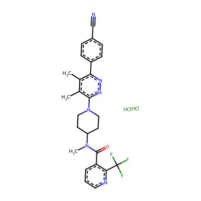 Cc1c(-c2ccc(C#N)cc2)nnc(N2CCC(N(C)C(=O)c3cccnc3C(F)(F)F)CC2)c1C.Cl.Cl